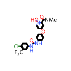 CNC(=O)C1C=C(Oc2ccc(NC(=O)Nc3ccc(Cl)c(C(F)(F)F)c3)cc2)C=CN1O